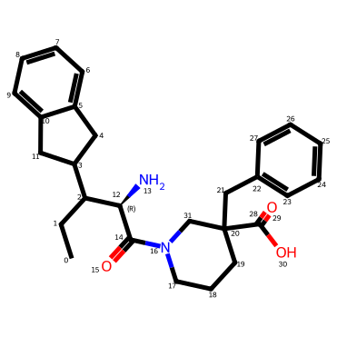 CCC(C1Cc2ccccc2C1)[C@@H](N)C(=O)N1CCCC(Cc2ccccc2)(C(=O)O)C1